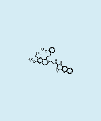 COc1ccccc1CCC1c2cc(OC)c(OC)cc2CCN1CCNC(=O)Nc1cc2ccccc2nc1C